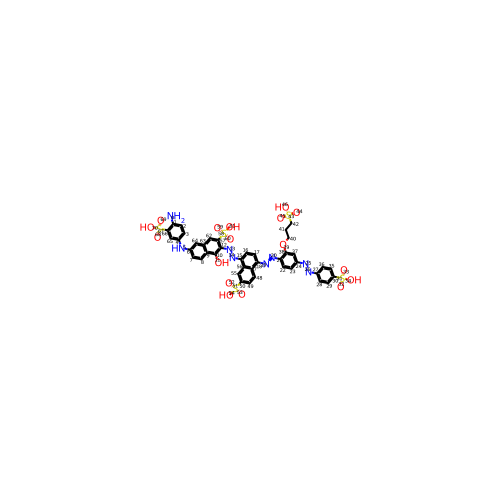 Nc1ccc(Nc2ccc3c(O)c(N=Nc4ccc(N=Nc5ccc(N=Nc6ccc(S(=O)(=O)O)cc6)cc5OCCCS(=O)(=O)O)c5ccc(S(=O)(=O)O)cc45)c(S(=O)(=O)O)cc3c2)cc1S(=O)(=O)O